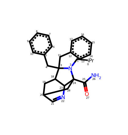 CC(C)CN1C(Cc2ccccc2)(Cc2ccccc2)C2CC3C=NC2C1(C(N)=O)C3